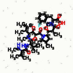 CC[C@H](C)[C@@H](C(CC(=O)N1C(C)[C@@H](C)C[C@H]1C(OC)[C@@H](C)C(=O)N[C@@H](Cc1cccc(F)c1)C(=O)O)OC)N(C)C(=O)[C@@H](NC(=O)[C@@H](NC)C(C)C)C(C)C